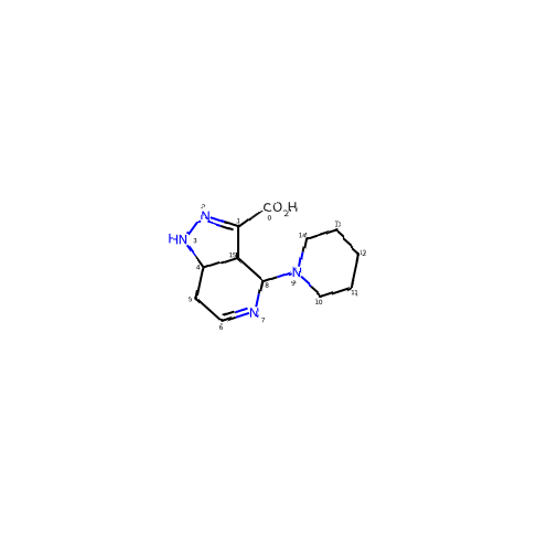 O=C(O)C1=NNC2CC=NC(N3CCCCC3)C12